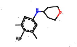 Bc1c(C)cc(NC2CCOCC2)cc1C